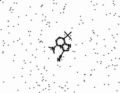 CN(C)c1ccc(C(C)(C)C)c2ncc(C#N)n12